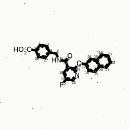 O=C(O)c1ccc(CNC(=O)c2cc(F)cnc2Oc2ccc3ccccc3c2)cc1